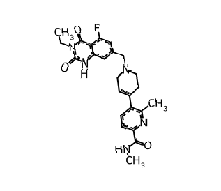 CCn1c(=O)[nH]c2cc(CN3CC=C(c4ccc(C(=O)NC)nc4C)CC3)cc(F)c2c1=O